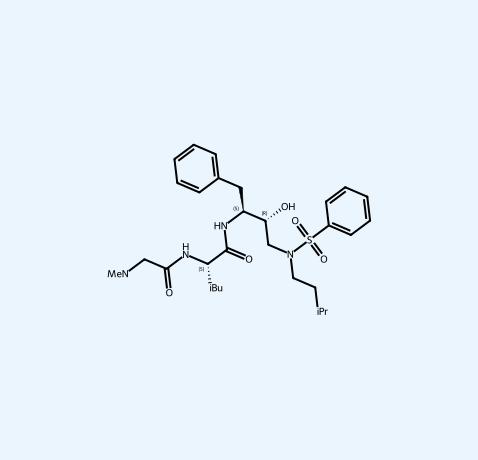 CCC(C)[C@H](NC(=O)CNC)C(=O)N[C@@H](Cc1ccccc1)[C@H](O)CN(CCC(C)C)S(=O)(=O)c1ccccc1